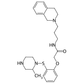 CC1CNCCN1Sc1ccccc1OCC(=O)NCCCN1CCc2ccccc2C1